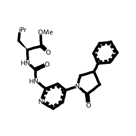 COC(=O)[C@H](CC(C)C)NC(=O)Nc1cc(N2CC(c3ccccc3)CC2=O)ccn1